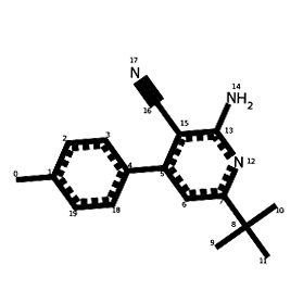 Cc1ccc(-c2cc(C(C)(C)C)nc(N)c2C#N)cc1